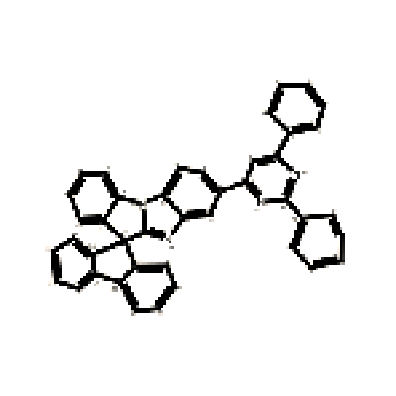 c1ccc(-c2cc(-c3ccc4c(c3)nc3n4-c4ccccc4C34c3ccccc3-c3ccccc34)nc(-c3ccccc3)n2)cc1